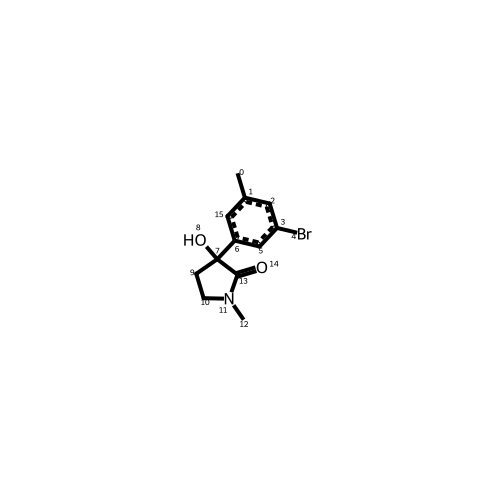 Cc1cc(Br)cc(C2(O)CCN(C)C2=O)c1